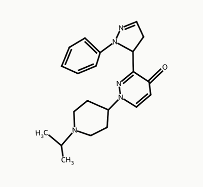 CC(C)N1CCC(n2ccc(=O)c(C3CC=NN3c3ccccc3)n2)CC1